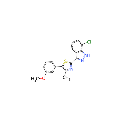 COc1cccc(-c2sc(-c3n[nH]c4c(Cl)cccc34)nc2C)c1